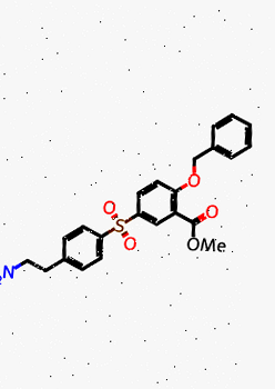 COC(=O)c1cc(S(=O)(=O)c2ccc(CCN)cc2)ccc1OCc1ccccc1